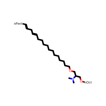 CCCCCC=CCC=CCCCCCCCCCCCCOCC(COCCCCCCCC)N(C)C